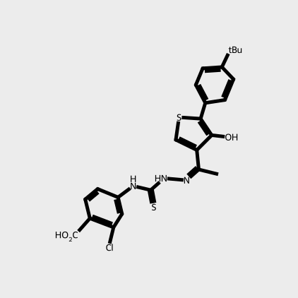 CC(=NNC(=S)Nc1ccc(C(=O)O)c(Cl)c1)c1csc(-c2ccc(C(C)(C)C)cc2)c1O